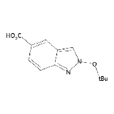 CC(C)(C)On1cc2cc(C(=O)O)ccc2n1